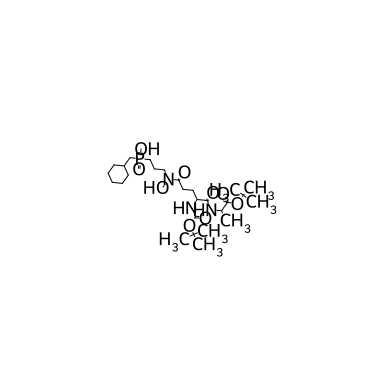 CC(NC(=O)C(CCC(=O)N(O)CCCP(=O)(O)CC1CCCCC1)NC(=O)OC(C)(C)C)C(=O)OC(C)(C)C